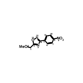 COCc1nc(-c2ccc([N+](=O)[O-])cc2)no1